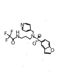 O=C(NCCCN(Cc1ccncc1)S(=O)(=O)c1ccc2occc2c1)C(F)(F)F